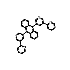 c1ccc(-c2cncc(-c3c4ccccc4c(-c4cncc(-c5ccccn5)c4)c4ccccc34)c2)nc1